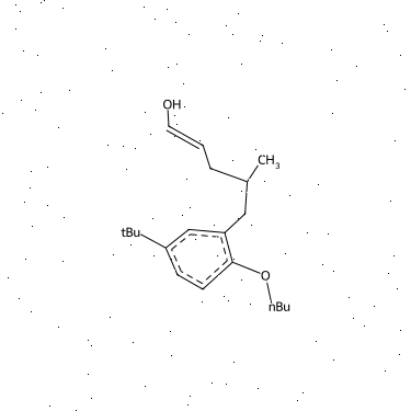 CCCCOc1ccc(C(C)(C)C)cc1CC(C)CC=CO